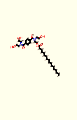 CCCCCCCCCCCCCCCCCC(=O)OCCN(CCO)C(=O)c1ccc(C(=O)N(CCO)CCO)cc1